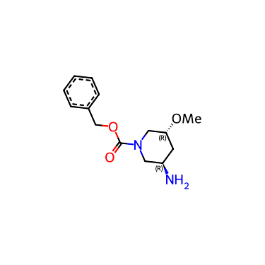 CO[C@@H]1C[C@@H](N)CN(C(=O)OCc2ccccc2)C1